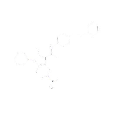 NC(=O)N1CCc2c(c(C(=O)Nc3ccc(OCc4ccccc4)cc3)c(Cl)n2-c2ccccc2)C1